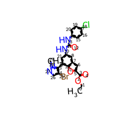 CCOC(=O)c1cc2cc(NC(=O)Nc3ccc(Cl)cc3)cc(-c3c(Br)cnn3C)c2o1